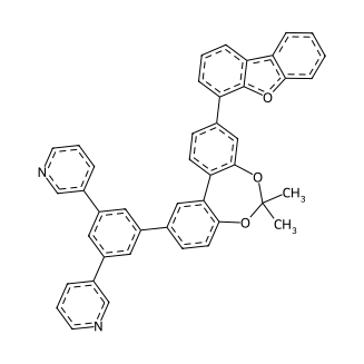 CC1(C)Oc2cc(-c3cccc4c3oc3ccccc34)ccc2-c2cc(-c3cc(-c4cccnc4)cc(-c4cccnc4)c3)ccc2O1